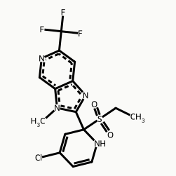 CCS(=O)(=O)C1(c2nc3cc(C(F)(F)F)ncc3n2C)C=C(Cl)C=CN1